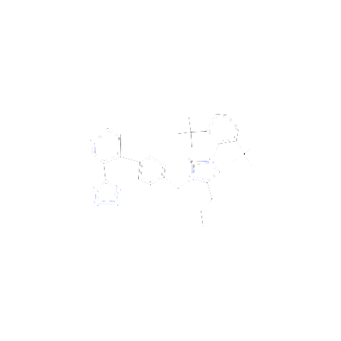 CCCc1cn(-c2c(C(C)(C)C)cccc2C(C)(C)C)c(=O)n1Cc1ccc(-c2ccncc2-c2nnn[nH]2)cc1